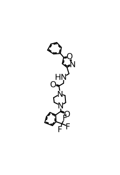 O=C(CNCc1cc(-c2ccccc2)on1)N1CCN(C(=O)c2ccccc2C(F)(F)F)CC1